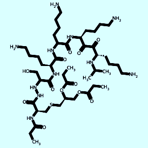 CCC(=O)N[C@H](CSC[C@H](COC(=O)CC)OC(=O)CC)C(=O)NNC(CO)C(=O)N[C@@H](CCCCN)C(=O)NC(CCCCN)C(=O)N[C@@H](CCCCN)C(=O)C(=O)[C@H](CCCCN)NC(C)C